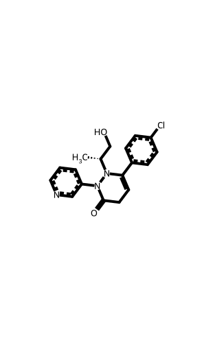 C[C@H](CO)N1C(c2ccc(Cl)cc2)=CCC(=O)N1c1cccnc1